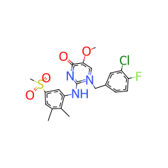 COc1cn(Cc2ccc(F)c(Cl)c2)c(Nc2cc(S(C)(=O)=O)cc(C)c2C)nc1=O